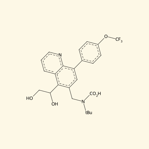 CC(C)(C)N(Cc1cc(-c2ccc(OC(F)(F)F)cc2)c2ncccc2c1C(O)CO)C(=O)O